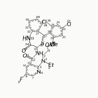 CCN(CCOC)c1ncc(F)cc1C(=O)NC1N=C(c2c(Cl)cc(Cl)cc2Cl)c2ccccc2NC1=O